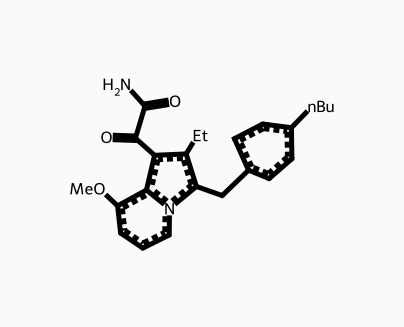 CCCCc1ccc(Cc2c(CC)c(C(=O)C(N)=O)c3c(OC)cccn23)cc1